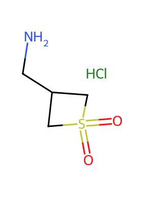 Cl.NCC1CS(=O)(=O)C1